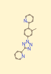 Cc1cc(-n2nnc(-c3ccccn3)n2)ccc1-c1ccccn1